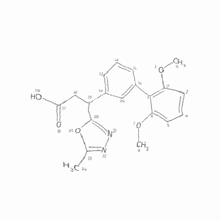 COc1cccc(OC)c1-c1cccc(C(CC(=O)O)c2nnc(C)o2)c1